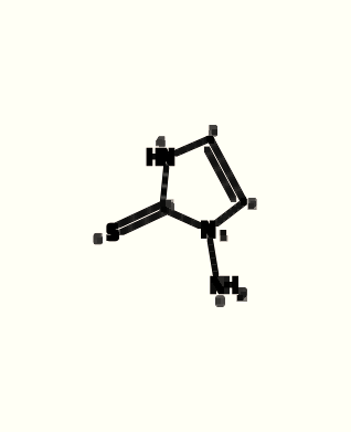 Nn1cc[nH]c1=S